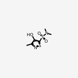 Cc1nsc(S(=O)(=O)N(C)C)c1O